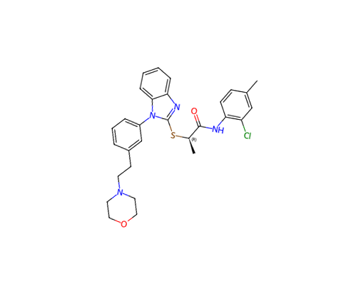 Cc1ccc(NC(=O)[C@@H](C)Sc2nc3ccccc3n2-c2cccc(CCN3CCOCC3)c2)c(Cl)c1